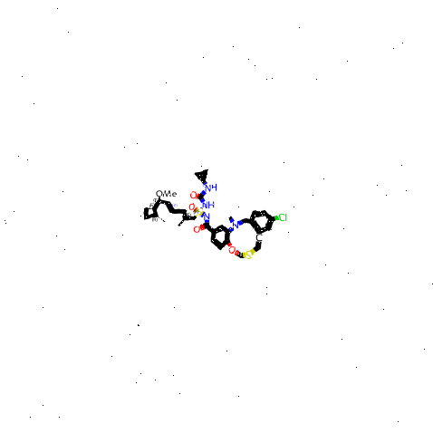 CO[C@@H](/C=C/C[C@H](C)C[S@](=O)(=NC(=O)c1ccc2c(c1)N(C)Cc1ccc(Cl)cc1CCSCO2)NC(=O)NC1CC1)[C@@H]1CC[C@H]1C